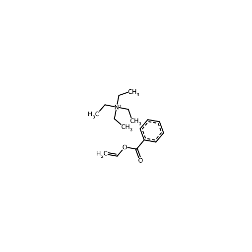 C=COC(=O)c1ccccc1.CC[N+](CC)(CC)CC